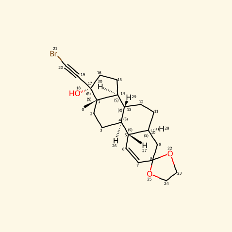 C[C@]12CC[C@@H]3[C@H]4C=CC5(C[C@@H]4CC[C@H]3[C@@H]1CC[C@]2(O)C#CBr)OCCO5